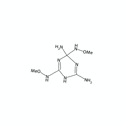 CONC1=NC(N)(NOC)N=C(N)N1